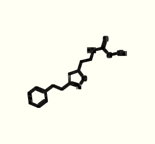 CC(C)(C)OC(=O)NCCC1CC(CCc2ccccc2)=NO1